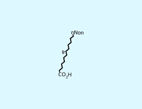 CCCCCCCCCCCCCCCCCCCCCC(=O)O.[Ir]